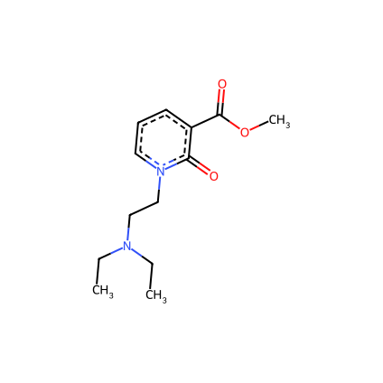 CCN(CC)CCn1cccc(C(=O)OC)c1=O